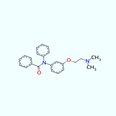 CN(C)CCOc1cccc(N(C(=O)c2ccccc2)c2ccccc2)c1